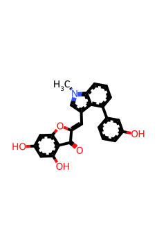 Cn1cc(/C=C2\Oc3cc(O)cc(O)c3C2=O)c2c(-c3cccc(O)c3)cccc21